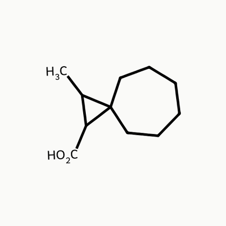 CC1C(C(=O)O)C12CCCCCC2